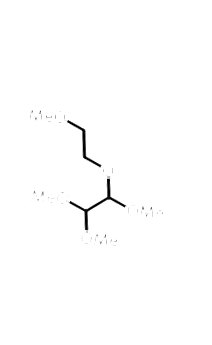 COCCOC(OC)C(OC)OC